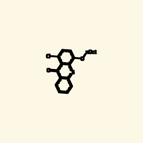 CCCCCCCCOc1ccc(Cl)c2c(=O)c3ccccc3sc12